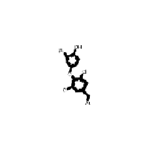 CC(=O)Cc1cc(Cl)c(Oc2ccc(O)c(C(C)C)c2)c(Cl)c1